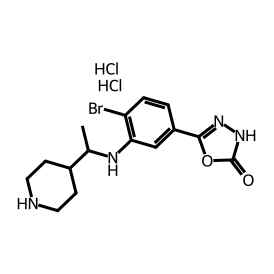 CC(Nc1cc(-c2n[nH]c(=O)o2)ccc1Br)C1CCNCC1.Cl.Cl